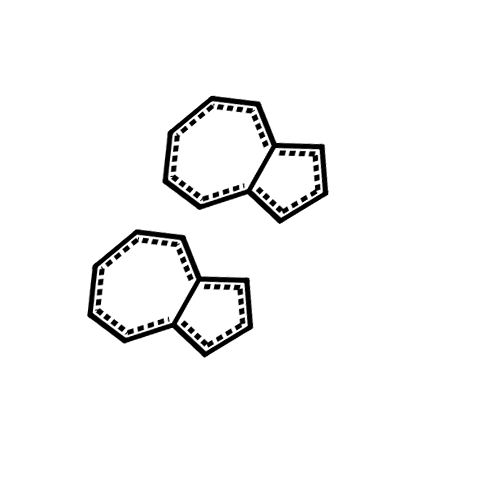 c1ccc2cccc-2cc1.c1ccc2cccc-2cc1